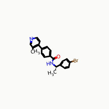 Cc1cnccc1-c1ccc(C(=O)N[C@@H](C)c2ccc(Br)cc2)cc1